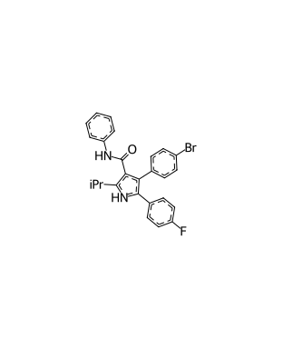 CC(C)c1[nH]c(-c2ccc(F)cc2)c(-c2ccc(Br)cc2)c1C(=O)Nc1ccccc1